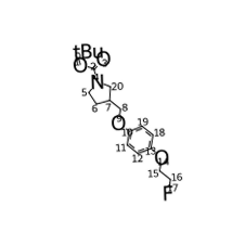 CC(C)(C)OC(=O)N1CCC(COc2ccc(OCCF)cc2)C1